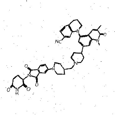 Cc1cc2c(N3CCCc4ccc(C#N)cc43)cc(C3CCN(CC4CCN(c5ccc6c(c5)C(=O)N(C5CCC(=O)NC5=O)C6=O)CC4)CC3)cc2n(C)c1=O